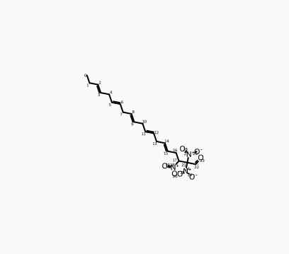 CC/C=C/C/C=C/C/C=C/C/C=C/C/C=C/CC([N+](=O)[O-])C([C]=O)([N+](=O)[O-])[N+](=O)[O-]